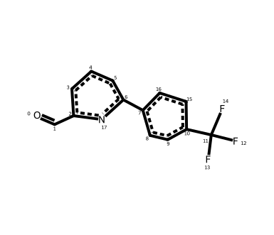 O=Cc1cccc(-c2ccc(C(F)(F)F)cc2)n1